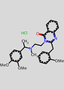 COc1ccccc1Cc1nc2ccccc2c(=O)n1CCN(C)C(C)c1ccc(OC)c(OC)c1.Cl